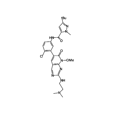 COn1c(=O)c(-c2cc(NC(=O)c3cc(C(C)(C)C)nn3C)ccc2Cl)cc2cnc(NCCN(C)C)nc21